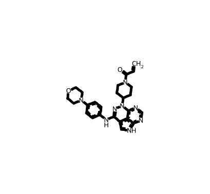 C=CC(=O)N1CCC(N2N=C(Nc3ccc(N4CCOCC4)cc3)c3c[nH]c4ncnc2c34)CC1